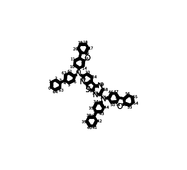 c1ccc(-c2ccc(N(c3ccc4c(c3)oc3ccccc34)c3ccc4c(n3)sc3nc(N(c5ccc(-c6ccccc6)cc5)c5ccc6c(c5)oc5ccccc56)cnc34)cc2)cc1